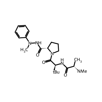 CN[C@@H](C)C(=O)N[C@H](C(=O)N1CCC[C@H]1C(=O)NN(C)c1ccccc1)C(C)(C)C